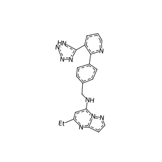 CCc1cc(NCc2ccc(-c3ncccc3-c3nnn[nH]3)cc2)n2nccc2n1